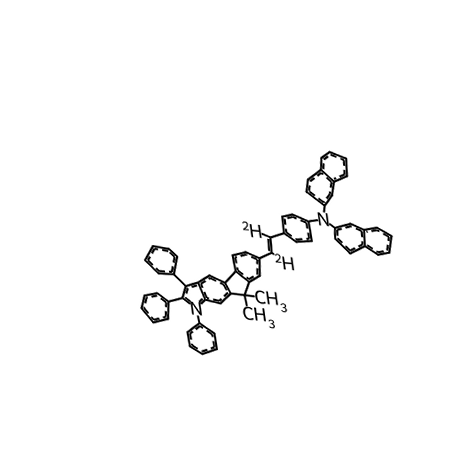 [2H]/C(=C(/[2H])c1ccc2c(c1)C(C)(C)c1cc3c(cc1-2)c(-c1ccccc1)c(-c1ccccc1)n3-c1ccccc1)c1ccc(N(c2ccc3ccccc3c2)c2ccc3ccccc3c2)cc1